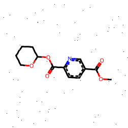 COC(=O)c1ccc(C(=O)OC2CCCCO2)nc1